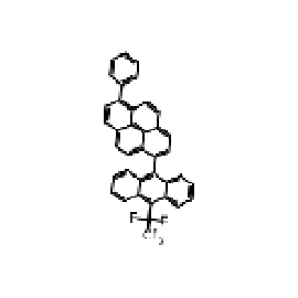 FC(F)(F)C(F)(F)c1c2ccccc2c(-c2ccc3ccc4c(-c5ccccc5)ccc5ccc2c3c54)c2ccccc12